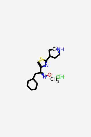 CON=C(CC1CCCCC1)c1csc(C2CCNCC2)n1.Cl